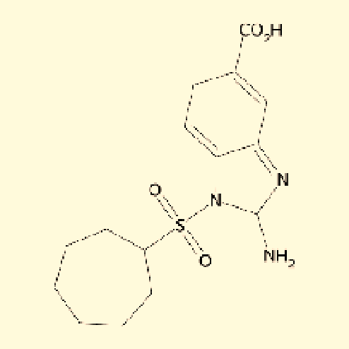 NC1N=C2C=C(C(=O)O)CC=C2N1S(=O)(=O)C1CCCCCC1